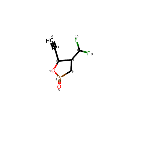 C#CC1OS(=O)CC1C(F)F